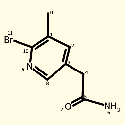 Cc1cc(CC(N)=O)cnc1Br